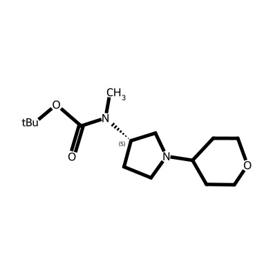 CN(C(=O)OC(C)(C)C)[C@H]1CCN(C2CCOCC2)C1